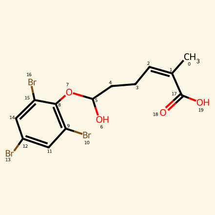 CC(=CCCC(O)Oc1c(Br)cc(Br)cc1Br)C(=O)O